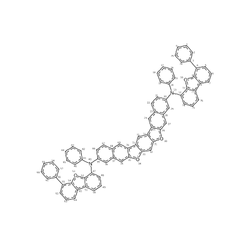 c1ccc(-c2cccc3c2oc2c(N(c4ccccc4)c4ccc5cc6c(cc5c4)oc4cc5oc7cc8cc(N(c9ccccc9)c9cccc%10c9oc9c(-c%11ccccc%11)cccc9%10)ccc8cc7c5cc46)cccc23)cc1